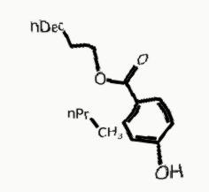 CCCC.CCCCCCCCCCCCOC(=O)c1ccc(O)cc1